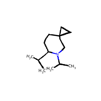 CC(C)C1CCC2(CC2)CN1C(C)C